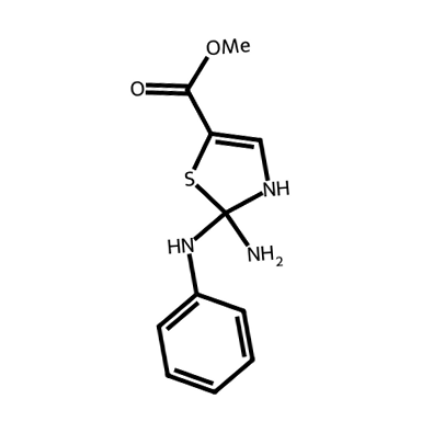 COC(=O)C1=CNC(N)(Nc2ccccc2)S1